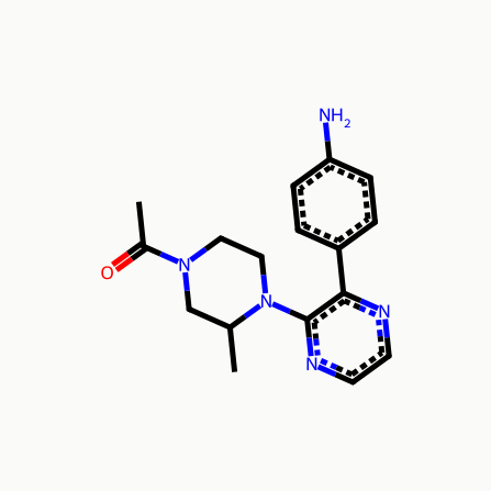 CC(=O)N1CCN(c2nccnc2-c2ccc(N)cc2)C(C)C1